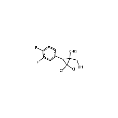 O=CC1(CO)C(c2ccc(F)c(F)c2)C1(Cl)Cl